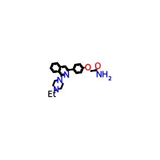 CCN1CCN(c2nc(-c3ccc(OCC(N)=O)cc3)cc3ccccc23)CC1